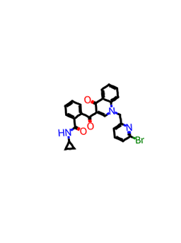 O=C(NC1CC1)c1ccccc1C(=O)c1cn(Cc2cccc(Br)n2)c2ccccc2c1=O